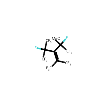 COC(F)(C(=C(C(F)(F)F)C(F)(F)F)C(F)(C(F)(F)F)C(F)(F)F)C(F)(F)F